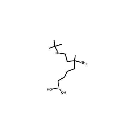 CC(N)(CCCCB(O)O)CCNC(C)(C)C